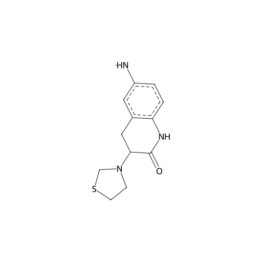 [NH]c1ccc2c(c1)CC(N1CCSC1)C(=O)N2